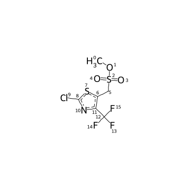 COS(=O)(=O)Cc1sc(Cl)nc1C(F)(F)F